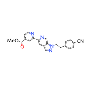 COC(=O)c1ccnc(-c2cc3cnn(CCc4ccc(C#N)cc4)c3cn2)c1